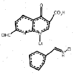 CCn1cc(C(=O)O)c(=O)c2ccc(C=O)nc21.[O-][NH+]=Cc1ccccc1